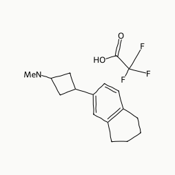 CNC1CC(c2ccc3c(c2)CCCC3)C1.O=C(O)C(F)(F)F